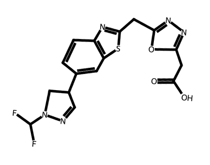 O=C(O)Cc1nnc(Cc2nc3ccc(C4C=NN(C(F)F)C4)cc3s2)o1